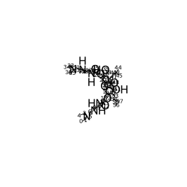 CCN(CC)CCNCCNC(=O)COc1cc2oc3cc(OCC(=O)NCCNCCN(CC)CC)c(CO)c(CC=C(C)C)c3c(=O)c2c(O)c1CC=C(C)C